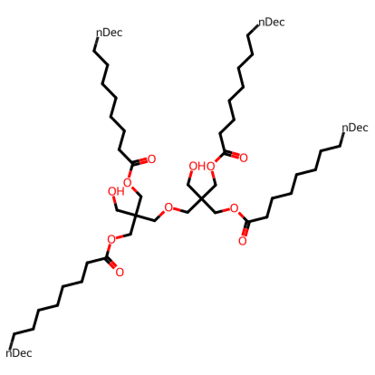 CCCCCCCCCCCCCCCCCC(=O)OCC(CO)(COCC(CO)(COC(=O)CCCCCCCCCCCCCCCCC)COC(=O)CCCCCCCCCCCCCCCCC)COC(=O)CCCCCCCCCCCCCCCCC